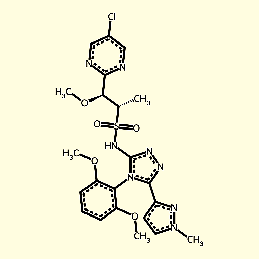 COc1cccc(OC)c1-n1c(NS(=O)(=O)[C@@H](C)[C@@H](OC)c2ncc(Cl)cn2)nnc1-c1ccn(C)n1